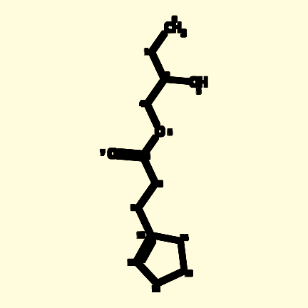 CCC(O)COC(=O)CCC1=CCCC1